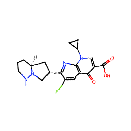 O=C(O)c1cn(C2CC2)c2nc([C@H]3C[C@@H]4CCCNN4C3)c(F)cc2c1=O